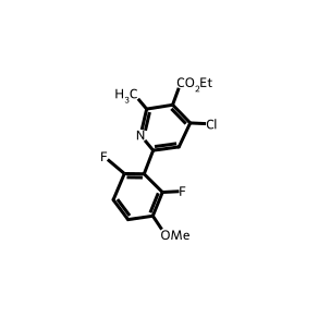 CCOC(=O)c1c(Cl)cc(-c2c(F)ccc(OC)c2F)nc1C